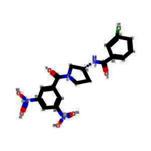 O=C(N[C@@H]1CCN(C(=O)c2cc([N+](=O)[O-])cc([N+](=O)[O-])c2)C1)c1cccc(Cl)c1